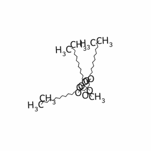 CC(=O)OC(CC(=O)OCCCCCCCCCCC(C)C)(CC(=O)OCCCCCCCCCCC(C)C)C(=O)OCCCCCCCCCCC(C)C